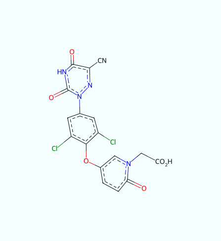 N#Cc1nn(-c2cc(Cl)c(Oc3ccc(=O)n(CC(=O)O)c3)c(Cl)c2)c(=O)[nH]c1=O